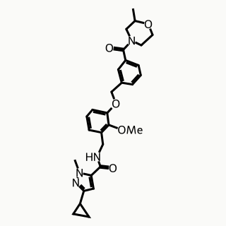 COc1c(CNC(=O)c2cc(C3CC3)nn2C)cccc1OCc1cccc(C(=O)N2CCOC(C)C2)c1